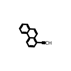 C#Cc1cccc2c1ccc1ccccc12